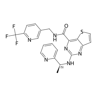 C[C@H](Nc1nc(C(=O)NCc2ccc(C(F)(F)F)nc2)c2sccc2n1)c1ccccn1